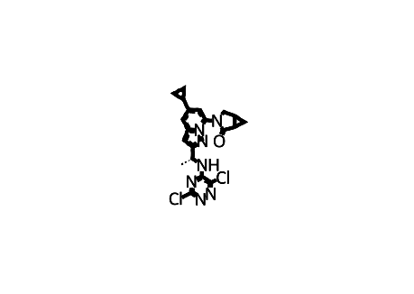 C[C@@H](Nc1nc(Cl)nnc1Cl)c1cc2cc(C3CC3)cc(N3CC4CC4C3=O)n2n1